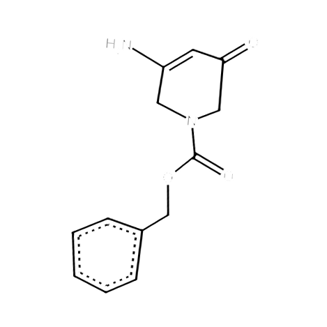 NC1=CC(=O)CN(C(=O)OCc2ccccc2)C1